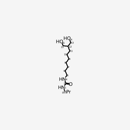 CCCNC(=O)NCCCCCCCC(CO)CO